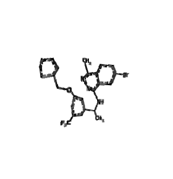 Cc1nnc(NC(C)c2cc(OCc3ccccc3)cc(C(F)(F)F)c2)c2cc(Br)ccc12